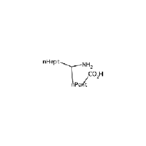 CC(=O)O.CCCCCCCC(N)CCCCC